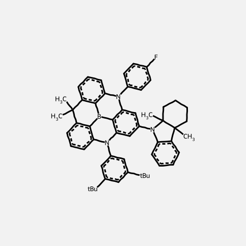 CC(C)(C)c1cc(N2c3cc(N4c5ccccc5C5(C)CCCCC45C)cc4c3B3c5c(cccc5C(C)(C)c5cccc2c53)N4c2ccc(F)cc2)cc(C(C)(C)C)c1